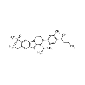 CCCC(O)c1cnc(N2CCn3c(nc4cc(CC)c(S(C)(=O)=O)cc43)[C@H]2C(C)C)nc1C